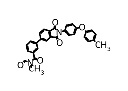 Cc1ccc(Oc2ccc(N3C(=O)c4ccc(-c5cccc(C(=O)N(C)C=O)c5)cc4C3=O)cc2)cc1